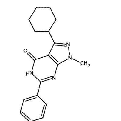 Cn1nc(C2CCCCC2)c2c(=O)[nH]c(-c3ccccc3)nc21